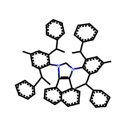 Cc1cc(C(C)c2ccccc2)c(N2CN(c3c(C(C)c4ccccc4)cc(C)cc3C(C)c3ccccc3)C3=C2c2cccc4cccc3c24)c(C(C)c2ccccc2)c1